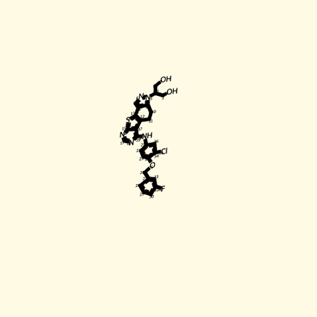 OCC(CO)n1ncc2c1CCc1c-2sc2ncnc(Nc3ccc(OCc4cccc(F)c4)c(Cl)c3)c12